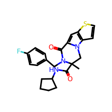 CC1(C(=O)NC2CCCC2)Cn2c(cc3sccc32)C(=O)N1Cc1ccc(F)cc1